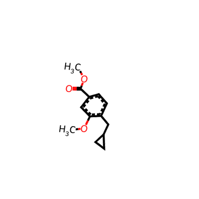 COC(=O)c1ccc(CC2CC2)c(OC)c1